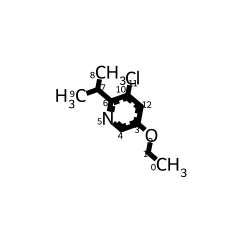 CCOc1cnc(C(C)C)c(Cl)c1